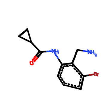 NCc1c(Br)cccc1NC(=O)C1CC1